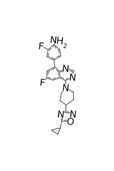 Nc1ccc(-c2cc(F)cc3c(N4CCC(c5noc(C6CC6)n5)CC4)ncnc23)cc1F